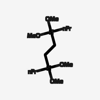 CCC[Si](CC[Si](CCC)(OC)OC)(OC)OC